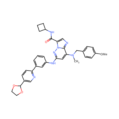 COc1ccc(CN(C)c2cc(Nc3cccc(-c4ccc(C5OCCO5)cn4)c3)nn3c(C(=O)NC4CCC4)cnc23)cc1